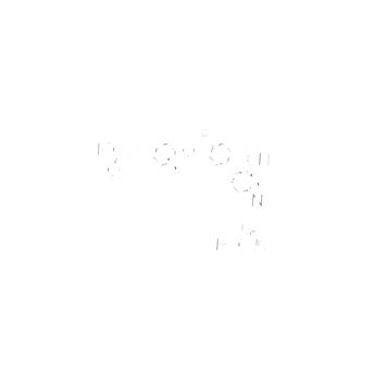 Cc1nc(N2CCC(CS(C)(=O)=O)C2)ccc1-c1ccc(F)c(COc2cc3c(cn2)C2C(C3)C2C(=O)O)c1